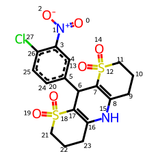 O=[N+]([O-])c1cc(C2C3=C(CCCS3(=O)=O)NC3=C2S(=O)(=O)CCC3)ccc1Cl